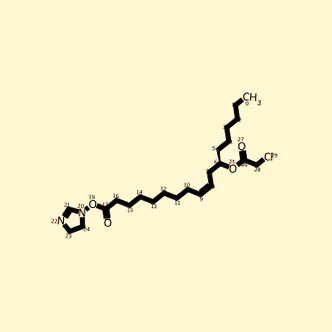 CCCCCC[C@H](C/C=C\CCCCCCCC(=O)ON1C=NCC1)OC(=O)CCl